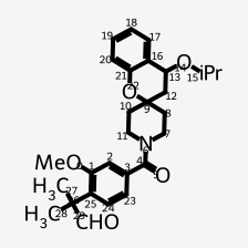 COc1cc(C(=O)N2CCC3(CC2)CC(OC(C)C)c2ccccc2O3)ccc1C(C)(C)C=O